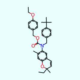 CCOc1ccc(COC(=O)N(Cc2ccc(C(C)(C)C)cc2)c2cc3c(cc2C)OC(C)(CC)C=C3)cc1